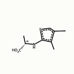 Cc1csc(N[C@@H](C)C(=O)O)c1C